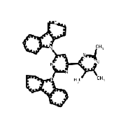 Cc1nc(C)c(C)c(-c2cc(-n3c4ccccc4c4ccccc43)nc(-n3c4ccccc4c4ccccc43)n2)n1